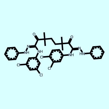 CC(C)(CCC(C)(C)C(=O)C(=NNc1ccccc1)Nc1ccc(Cl)c(Cl)c1)C(=O)C(=NNc1ccccc1)Nc1cc(Cl)cc(Cl)c1